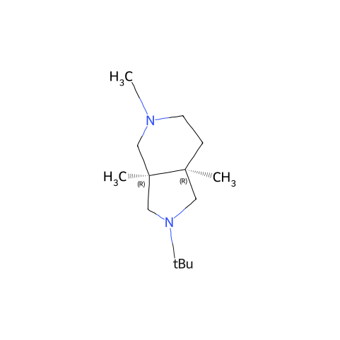 CN1CC[C@@]2(C)CN(C(C)(C)C)C[C@@]2(C)C1